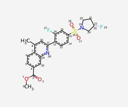 COC(=O)c1ccc2c(C)cc(-c3ccc(S(=O)(=O)N4CC[C@H](F)C4)cc3F)nc2c1